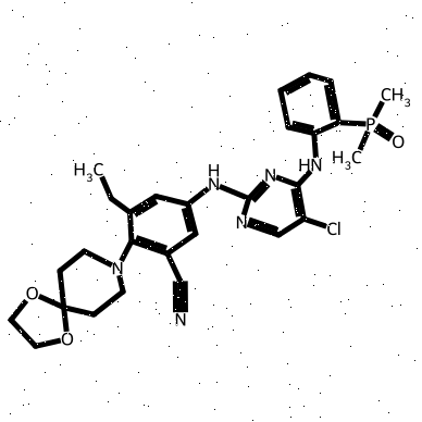 CCc1cc(Nc2ncc(Cl)c(Nc3ccccc3P(C)(C)=O)n2)cc(C#N)c1N1CCC2(CC1)OCCO2